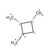 C[C@@H]1CN(C)[C@@H]1C